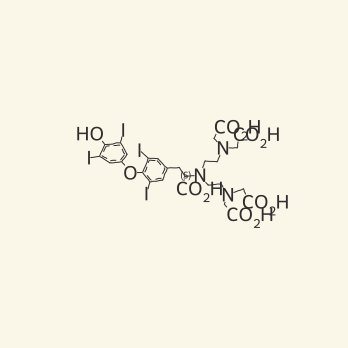 O=C(O)CN(CCN(CCN(CC(=O)O)CC(=O)O)[C@@H](Cc1cc(I)c(Oc2cc(I)c(O)c(I)c2)c(I)c1)C(=O)O)CC(=O)O